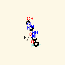 Cc1c([C@@H](NC(=O)Nc2cnc(N3CC[C@@H](O)C3)nc2)C(F)(F)F)oc2c(F)cc(F)cc12